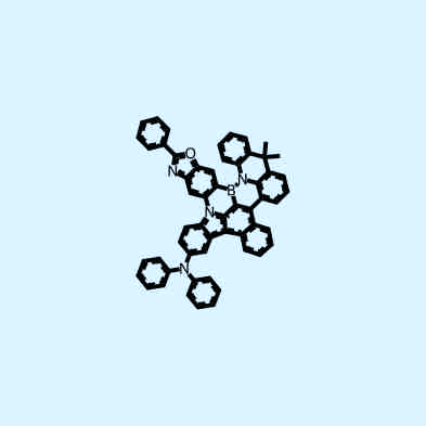 CC1(C)c2ccccc2N2B3c4cc5oc(-c6ccccc6)nc5cc4-n4c5ccc(N(c6ccccc6)c6ccccc6)cc5c5c6ccccc6c(c3c54)-c3cccc1c32